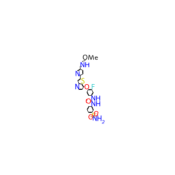 COCCNCc1ccc(-c2cc3nccc(Oc4ccc(NC(=O)Nc5cccc(S(N)(=O)=O)c5)cc4F)c3s2)nc1